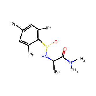 CC(C)c1cc(C(C)C)c([S@+]([O-])N[C@@H](C(=O)N(C)C)C(C)(C)C)c(C(C)C)c1